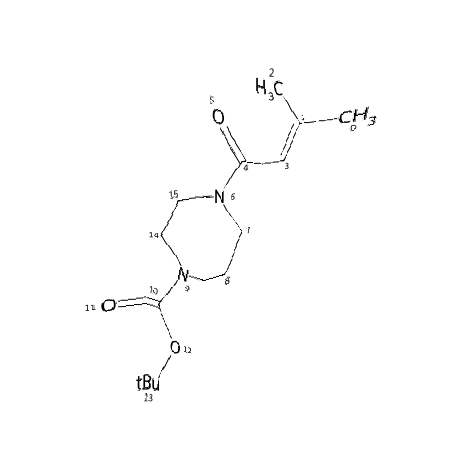 CC(C)=CC(=O)N1CCN(C(=O)OC(C)(C)C)CC1